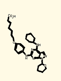 O=C(O)CCCCCCOc1ccc(Nc2nc(NC3CCCCC3)c3cnn(C4CCCCO4)c3n2)cc1